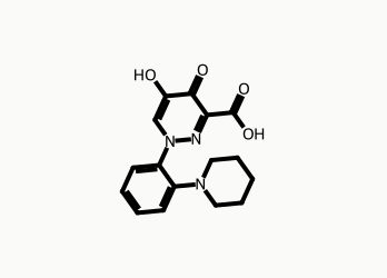 O=C(O)c1nn(-c2ccccc2N2CCCCC2)cc(O)c1=O